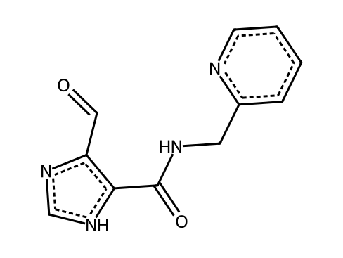 O=Cc1nc[nH]c1C(=O)NCc1ccccn1